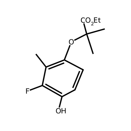 CCOC(=O)C(C)(C)Oc1ccc(O)c(F)c1C